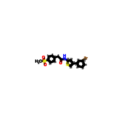 CS(=O)(=O)c1ccc(CC(=O)Nc2cc(-c3cccc(Br)c3)cs2)cc1